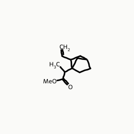 C=CC1CC2CCC1(C(C)C(=O)OC)C2